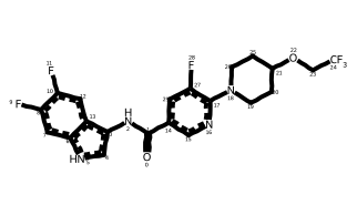 O=C(Nc1c[nH]c2cc(F)c(F)cc12)c1cnc(N2CCC(OCC(F)(F)F)CC2)c(F)c1